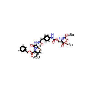 CC(=O)OCC1=C(C(=O)OCc2ccccc2)N2C(=O)[C@@H](NC(=O)Cc3ccc(NC(=O)OC[C@@H](NC(=O)OC(C)(C)C)C(=O)OC(C)(C)C)cc3)[C@H]2SC1